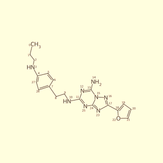 CCCNc1ccc(CCNc2nc(N)n3nc(-c4ccco4)nc3n2)cc1